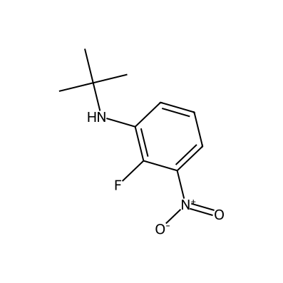 CC(C)(C)Nc1cccc([N+](=O)[O-])c1F